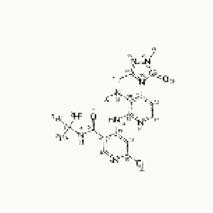 [2H]C([2H])([2H])NC(=O)c1cnc(Cl)cc1Nc1nccc2c1N(C)Cc1nn(C)c(=O)n1-2